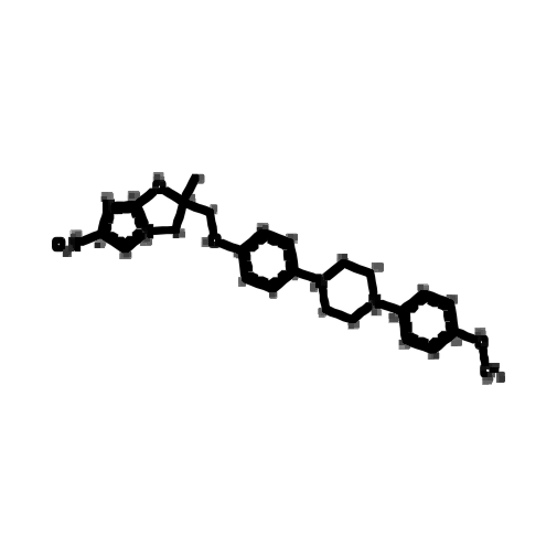 CC1(COc2ccc(N3CCN(c4ccc(OC(F)(F)F)cc4)CC3)cc2)Cn2cc([N+](=O)[O-])nc2O1